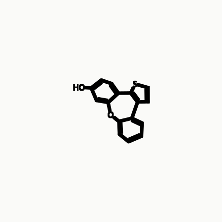 Oc1ccc2c(c1)Oc1ccccc1-c1ccsc1-2